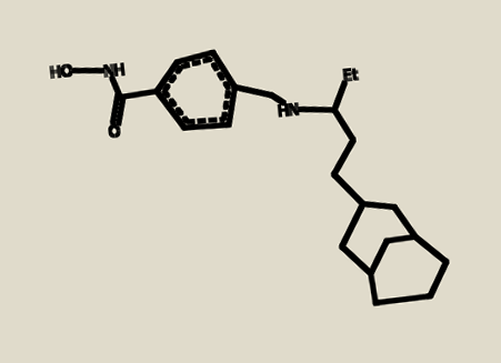 CCC(CCC1CC2CCCC(C2)C1)NCc1ccc(C(=O)NO)cc1